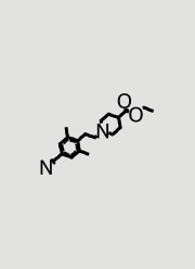 CCOC(=O)C1CCN(CCc2c(C)cc(C#N)cc2C)CC1